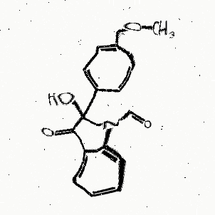 COc1ccc(C2(O)C(=O)c3ccccc3N2C=O)cc1